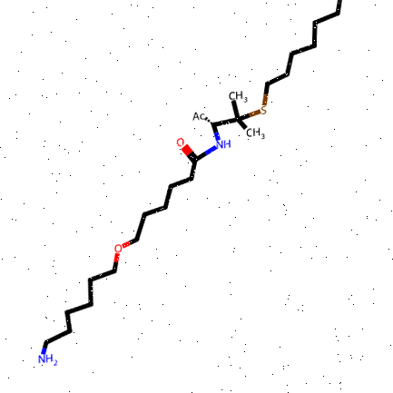 CNCCCCCCSC(C)(C)[C@H](NC(=O)CCCCCOCCCCCCN)C(C)=O